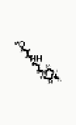 COCCCNCCCN1CCN(C)CC1